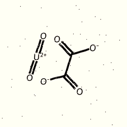 O=C([O-])C(=O)[O-].[O]=[U+2]=[O]